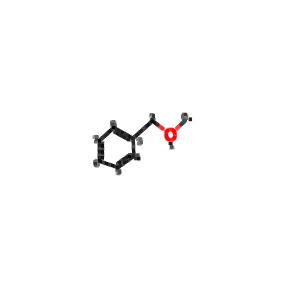 [CH2]OCc1[c]cccc1